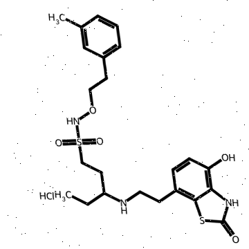 CCC(CCS(=O)(=O)NOCCc1cccc(C)c1)NCCc1ccc(O)c2[nH]c(=O)sc12.Cl